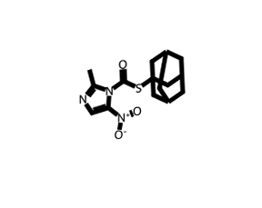 Cc1ncc([N+](=O)[O-])n1C(=O)SC12CC3CC(CC(C3)C1)C2